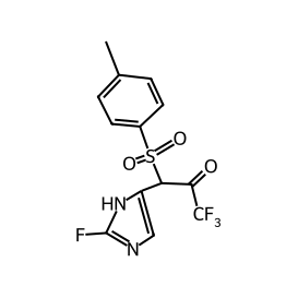 Cc1ccc(S(=O)(=O)C(C(=O)C(F)(F)F)c2cnc(F)[nH]2)cc1